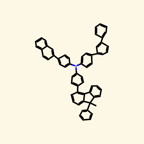 CC1(c2ccccc2)c2ccccc2-c2c(-c3ccc(N(c4ccc(-c5cccc(-c6ccccc6)c5)cc4)c4ccc(-c5ccc6ccccc6c5)cc4)cc3)cccc21